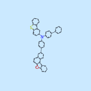 c1ccc(-c2ccc(N(c3ccc(-c4ccc5c(ccc6oc7ccccc7c65)c4)cc3)c3ccc4sc5ccccc5c4c3)cc2)cc1